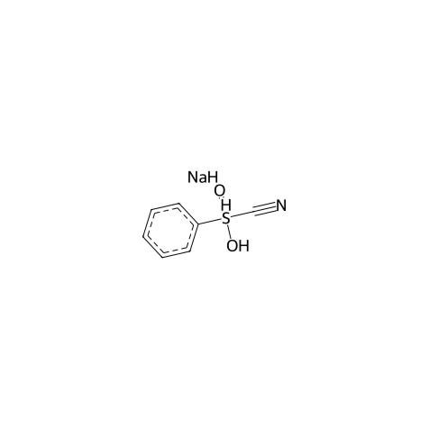 N#C[SH](=O)(O)c1ccccc1.[NaH]